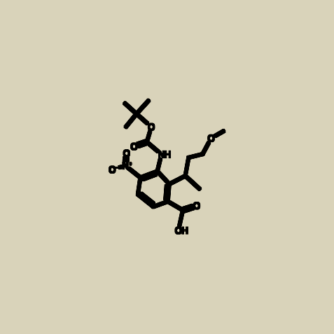 COCCC(C)c1c(C(=O)O)ccc([N+](=O)[O-])c1NC(=O)OC(C)(C)C